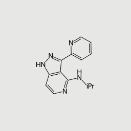 CC(C)Nc1nccc2[nH]nc(-c3ccccn3)c12